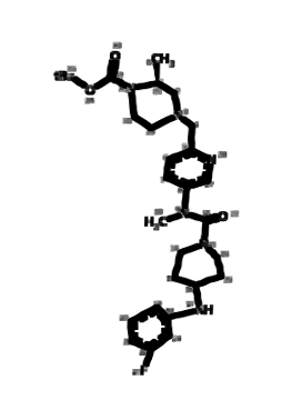 C[C@H]1CN(Cc2ccc(N(C)C(=O)N3CCC(Nc4cccc(F)c4)CC3)cn2)CCN1C(=O)OC(C)(C)C